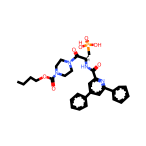 CCCCOC(=O)N1CCN(C(=O)[C@H](CP(=O)(O)O)NC(=O)c2cc(-c3ccccc3)cc(-c3ccccc3)n2)CC1